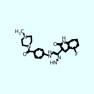 CN1CCN(C(=O)c2ccc(N/C=C(\N=N)c3cc4c(F)cccc4[nH]c3=O)cc2)CC1